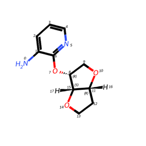 Nc1cccnc1O[C@@H]1CO[C@@H]2CCO[C@@H]21